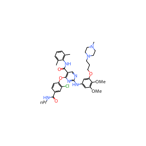 CCCNC(=O)c1ccc(Oc2nc(Nc3cc(OC)c(OC)c(OCCCN4CCN(C)CC4)c3)ncc2C(=O)Nc2c(C)cccc2C)c(Cl)c1